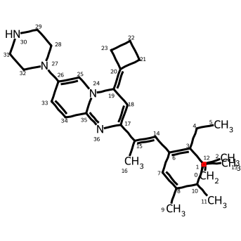 C=C(C)/C(CC)=C(\C=C(\C)C(C)CC)/C=C(\C)C1=CC(=C2CCC2)N2C=C(N3CCNCC3)C=CC2=N1